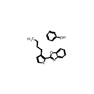 CCCCc1ccsc1-c1nc2ccccc2o1.Oc1ccccc1